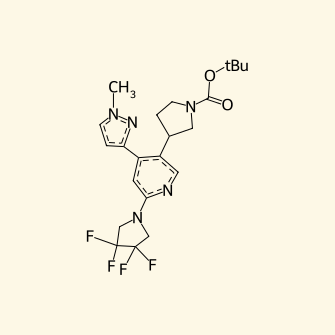 Cn1ccc(-c2cc(N3CC(F)(F)C(F)(F)C3)ncc2C2CCN(C(=O)OC(C)(C)C)C2)n1